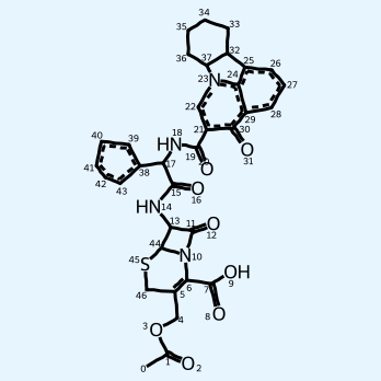 CC(=O)OCC1=C(C(=O)O)N2C(=O)C(NC(=O)C(NC(=O)c3cn4c5c(cccc5c3=O)C3CCCCC34)c3ccccc3)C2SC1